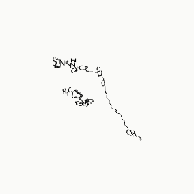 CCCCCCCCCCCCCCCCOCC1COC(COC(=O)NCC[n+]2ccsc2)C1.Cc1ccc(S(=O)(=O)[O-])cc1